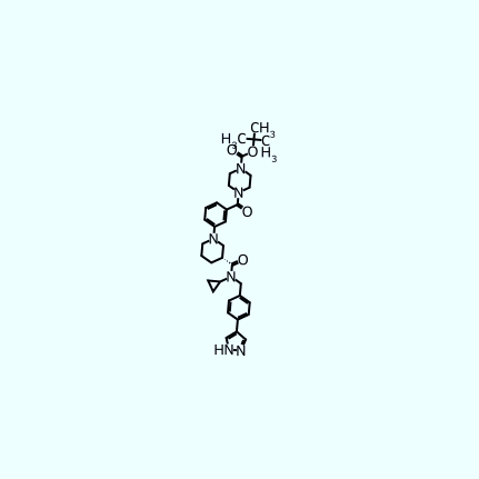 CC(C)(C)OC(=O)N1CCN(C(=O)c2cccc(N3CCC[C@@H](C(=O)N(Cc4ccc(-c5cn[nH]c5)cc4)C4CC4)C3)c2)CC1